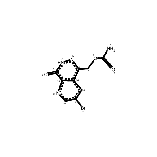 NC(=O)OCc1n[nH]c(=O)c2ncc(Br)cc12